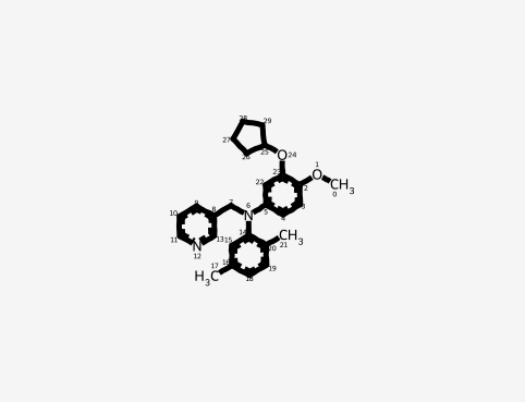 COc1ccc(N(Cc2cccnc2)c2cc(C)ccc2C)cc1OC1CCCC1